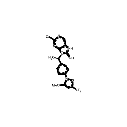 COc1cc(C(F)(F)F)nn1-c1ccc([C@@H](C)n2c(=N)[nH]c3cnc(Cl)nc32)cc1